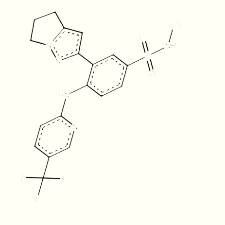 CNS(=O)(=O)c1ccc(Nc2ccc(C(F)(F)F)cn2)c(-c2cc3n(n2)CCC3)c1